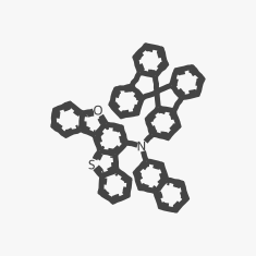 c1ccc2c(c1)-c1ccccc1C21c2ccccc2-c2ccc(N(c3ccc4ccccc4c3)c3cc4oc5ccccc5c4c4sc5ccccc5c34)cc21